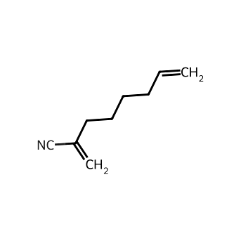 C=CCCCCC(=C)C#N